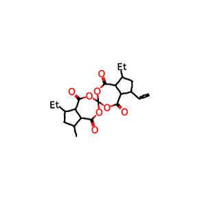 C=CC1CC(CC)C2C(=O)OC3(OC(=O)C4C(C)CC(CC)C4C(=O)O3)OC(=O)C12